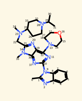 Cc1nc2ccccc2n1-c1nc(N2CCOCC2)c2nc(CN(C)C3CCN(C(C)C)CC3)n(C)c2n1